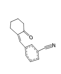 N#Cc1cccc(/C=C2/CCCCC2=O)c1